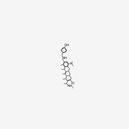 CCC1=C(C(C)N)C(C)C2C(C)=C3C(Cc4c(N(C)C)cc(CNCc5ccc(O)cc5)c(C)c4C3C)CC2C1